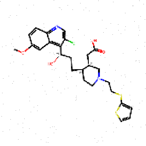 COc1ccc2ncc(Cl)c([C@@H](O)CC[C@@H]3CCN(CCSc4cccs4)C[C@@H]3CC(=O)O)c2c1